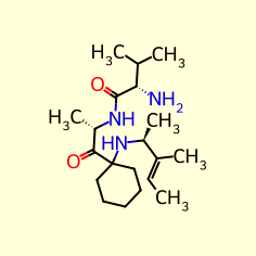 CC=C(C)[C@H](C)NC1(C(=O)[C@H](C)NC(=O)[C@@H](N)C(C)C)CCCCC1